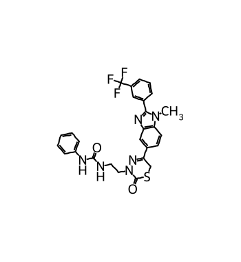 Cn1c(-c2cccc(C(F)(F)F)c2)nc2cc(C3=NN(CCNC(=O)Nc4ccccc4)C(=O)SC3)ccc21